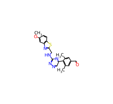 COc1ccc2sc(CNc3nncc(-c4c(C)cc(C=O)cc4C)n3)nc2c1